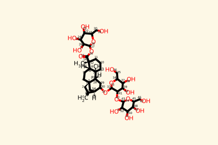 C=C1C[C@@]23CC[C@H]4[C@@](C)(CCC[C@@]4(C)C(=O)OC4OC(CO)C(O)C(O)C4O)[C@@H]2CC(OC2OC(CO)C(O)C(O)C2OC2OC(CO)C(O)C(O)C2O)[C@@H]1C3